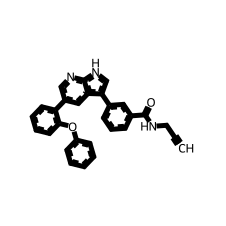 C#CCNC(=O)c1cccc(-c2c[nH]c3ncc(-c4ccccc4Oc4ccccc4)cc23)c1